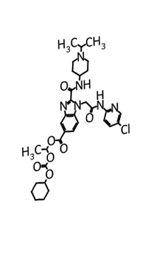 CC(OC(=O)OC1CCCCC1)OC(=O)c1ccc2c(c1)nc(C(=O)NC1CCN(C(C)C)CC1)n2CC(=O)Nc1ccc(Cl)cn1